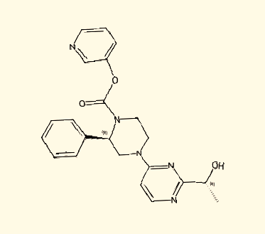 C[C@@H](O)c1nccc(N2CCN(C(=O)Oc3cccnc3)[C@H](c3ccccc3)C2)n1